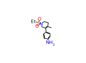 CCS(=O)(=O)N1CCC(C)=C(c2ccc(N)cc2)C1